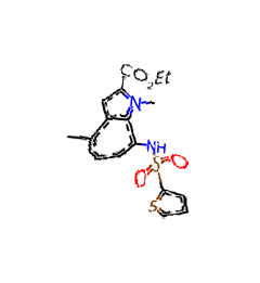 CCOC(=O)c1cc2c(C)ccc(NS(=O)(=O)c3cccs3)c2n1C